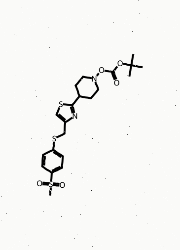 CC(C)(C)OC(=O)ON1CCC(c2nc(CSc3ccc(S(C)(=O)=O)cc3)cs2)CC1